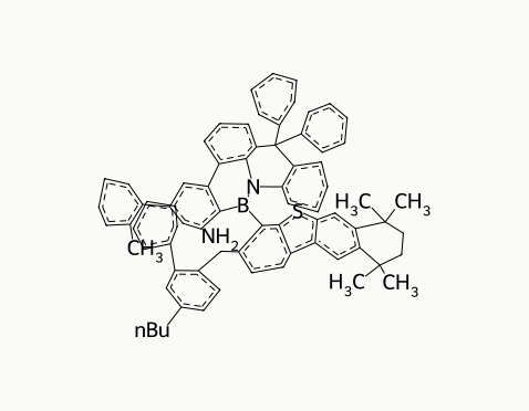 CCCCc1ccc(Cc2ccc3c(sc4cc5c(cc43)C(C)(C)CCC5(C)C)c2B2c3c(N)cc(-c4ccccc4C)cc3-c3cccc4c3N2c2ccccc2C4(c2ccccc2)c2ccccc2)c(-c2ccccc2)c1